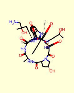 C[C@@H]1NC(=O)C2C[C@@H](O)CN2C(=O)C2NC(=O)[C@@H]([C@H](C)O)NC(=O)[C@@H](C)NC(=O)[C@H](CC(C)(O)CN)NC(=O)[C@H](CC3C(=Nc4ccccc43)CS2)NC1=O